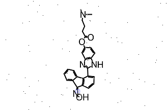 CN(C)CCCC(=O)Oc1ccc2[nH]c(-c3cccc4c3-c3ccccc3/C4=N/O)nc2c1